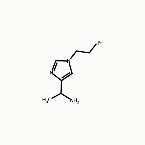 CC(C)CCn1cnc(C(C)N)c1